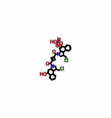 O=C(N1CC(CCl)c2c1cc(O)c1ccccc21)C12CC(C(=O)N3CC(CCl)c4c3cc(OP(=O)(O)O)c3ccccc43)(C1)C2